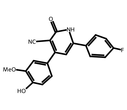 COc1cc(-c2cc(-c3ccc(F)cc3)[nH]c(=O)c2C#N)ccc1O